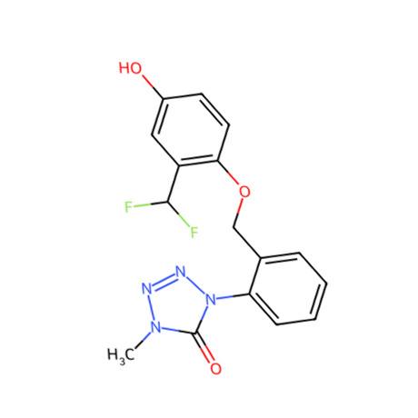 Cn1nnn(-c2ccccc2COc2ccc(O)cc2C(F)F)c1=O